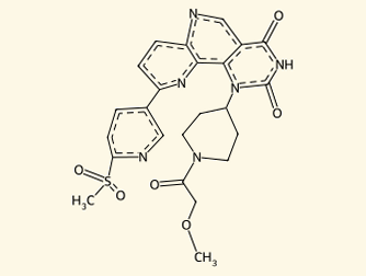 COCC(=O)N1CCC(n2c(=O)[nH]c(=O)c3cnc4ccc(-c5ccc(S(C)(=O)=O)nc5)nc4c32)CC1